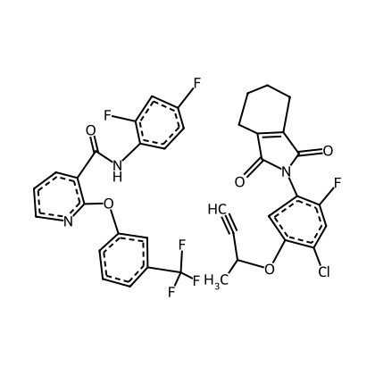 C#CC(C)Oc1cc(N2C(=O)C3=C(CCCC3)C2=O)c(F)cc1Cl.O=C(Nc1ccc(F)cc1F)c1cccnc1Oc1cccc(C(F)(F)F)c1